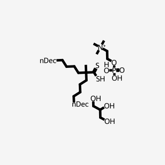 CCCCCCCCCCCCCCC(C)(CCCCCCCCCCCCCC)C(=S)S.C[N+](C)(C)CCOP(=O)(O)O.OCC(O)CO